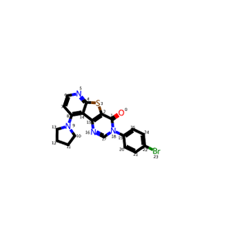 O=c1c2sc3nccc(N4CCCC4)c3c2ncn1-c1ccc(Br)cc1